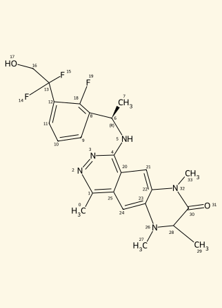 Cc1nnc(N[C@H](C)c2cccc(C(F)(F)CO)c2F)c2cc3c(cc12)N(C)C(C)C(=O)N3C